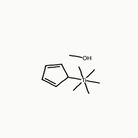 CO.[CH3][Ti]([CH3])([CH3])([CH3])([CH3])[CH]1C=CC=C1